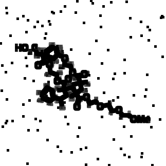 COCCOCCOCCOC(=O)C(C)(CC(C)(C)C(=O)OCCOc1ccccc1)CC(C)(CC(C)c1ccccc1)C(=O)OCCOC(=O)CCC(=O)O